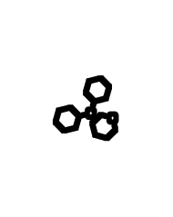 C1CCC(OC2CCCCC2)CC1.C1CCOCC1